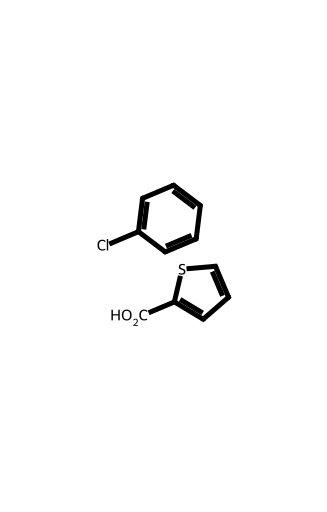 Clc1ccccc1.O=C(O)c1cccs1